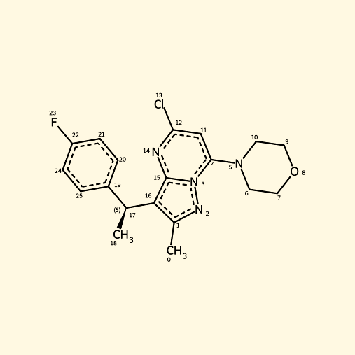 Cc1nn2c(N3CCOCC3)cc(Cl)nc2c1[C@@H](C)c1ccc(F)cc1